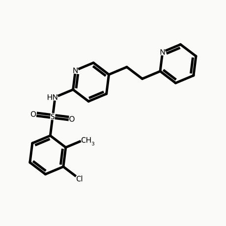 Cc1c(Cl)cccc1S(=O)(=O)Nc1ccc(CCc2ccccn2)cn1